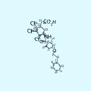 Cc1cc(OCCc2ccccc2)cc(C)c1C(=O)Nc1cc(CC(=O)O)c(Cl)c(Cl)c1Cl